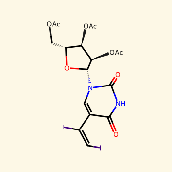 CC(=O)OC[C@H]1O[C@@H](n2cc(/C(I)=C\I)c(=O)[nH]c2=O)[C@H](OC(C)=O)[C@@H]1OC(C)=O